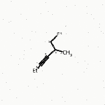 CCC#CC(C)CF